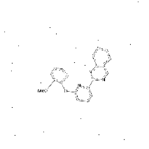 COc1ccccc1Oc1cccc(-c2ncc3ccccc3n2)n1